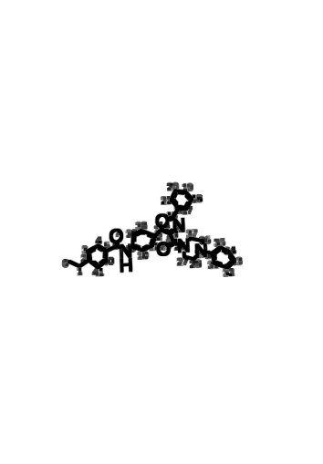 CCc1ccc(C(=O)Nc2ccc(-c3oc(-c4ccccc4)nc3C(=O)N3CCN(c4ccccc4)CC3)cc2)cc1